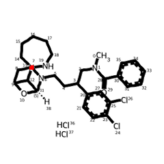 CN(CC(CCN1CCC2O[C@H]1C2N1CCCCCN1)c1ccc(Cl)c(Cl)c1)C(=O)c1ccccc1.Cl.Cl